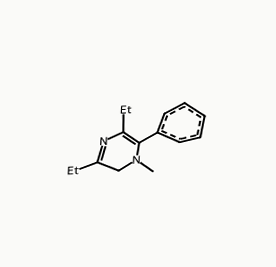 CCC1=NC(CC)=C(c2ccccc2)N(C)C1